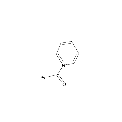 CC(C)C(=O)[n+]1ccccc1